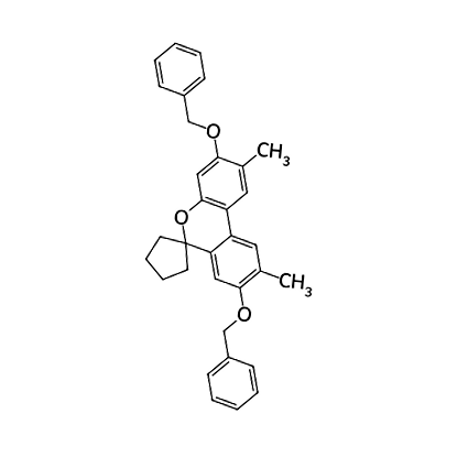 Cc1cc2c(cc1OCc1ccccc1)OC1(CCCC1)c1cc(OCc3ccccc3)c(C)cc1-2